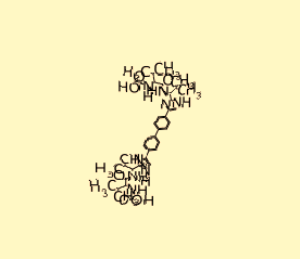 CC(C)[C@H](NC(=O)[C@H](NC(=O)O)C(C)C)c1nc(-c2ccc(-c3ccc(-c4c[nH]c([C@@H](NC(=O)[C@H](NC(=O)O)C(C)C)C(C)C)n4)cc3)cc2)c[nH]1